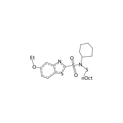 CCCCCCCCSN(C1CCCCC1)S(=O)(=O)c1nc2cc(OCC)ccc2s1